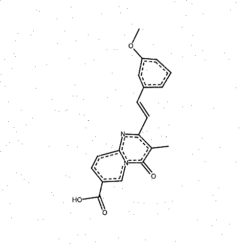 COc1cccc(C=Cc2nc3ccc(C(=O)O)cn3c(=O)c2C)c1